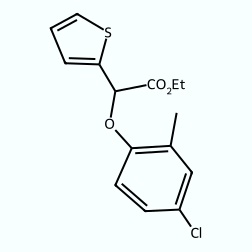 CCOC(=O)C(Oc1ccc(Cl)cc1C)c1cccs1